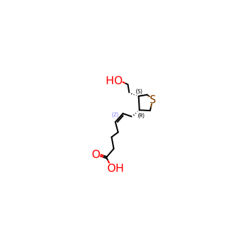 O=C(O)CCC/C=C\C[C@H]1CSC[C@H]1CCO